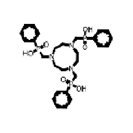 O=P(O)(CN1CCN(CP(=O)(O)c2ccccc2)CCN(CP(=O)(O)c2ccccc2)CC1)c1ccccc1